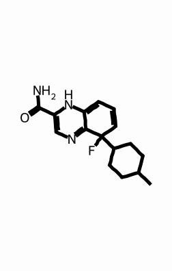 CC1CCC(C2(F)C=CC=C3NC(C(N)=O)=CN=C32)CC1